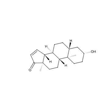 C[C@@]12CC[C@@H](O)C[C@H]1CC[C@H]1[C@H]2CC[C@@]2(C)C(=O)C=C[C@H]12